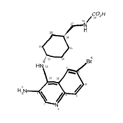 Nc1cnc2ccc(Br)cc2c1N[C@H]1CC[C@H](CNC(=O)O)CC1